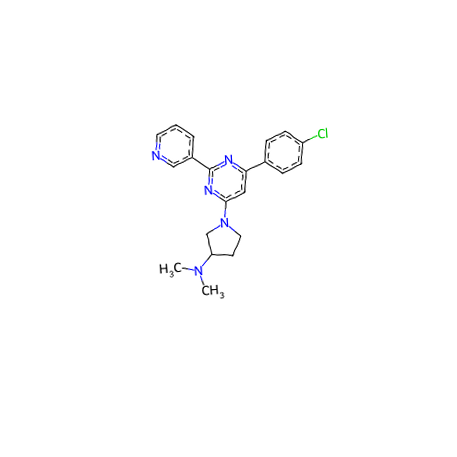 CN(C)C1CCN(c2cc(-c3ccc(Cl)cc3)nc(-c3cccnc3)n2)C1